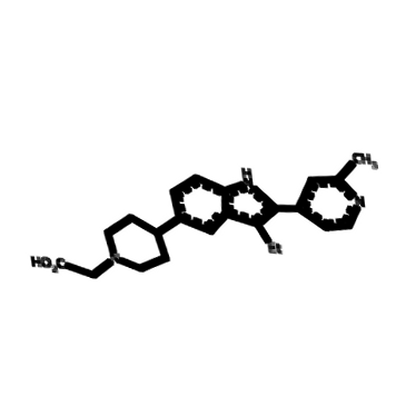 CCc1c(-c2ccnc(C)c2)[nH]c2ccc(C3CCN(CC(=O)O)CC3)cc12